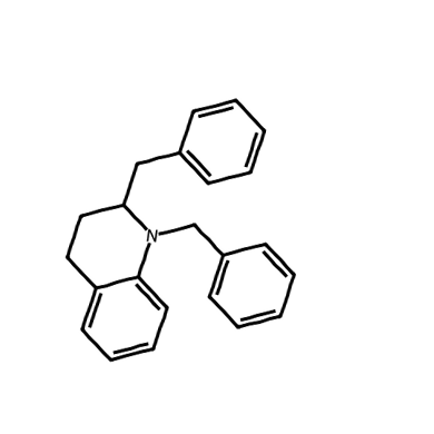 c1ccc(CC2CCc3ccccc3N2Cc2ccccc2)cc1